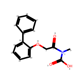 CN(C(=O)O)C(=O)COc1ccccc1-c1ccccc1